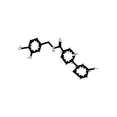 O=C(NCc1ccc(Cl)c(Cl)c1)c1ccc(-c2cccc(F)c2)nc1